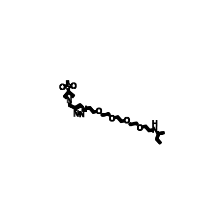 CCC(C)NCCOCCOCCOCCOCCn1cc(CN2CC(S(C)(=O)=O)C2)nn1